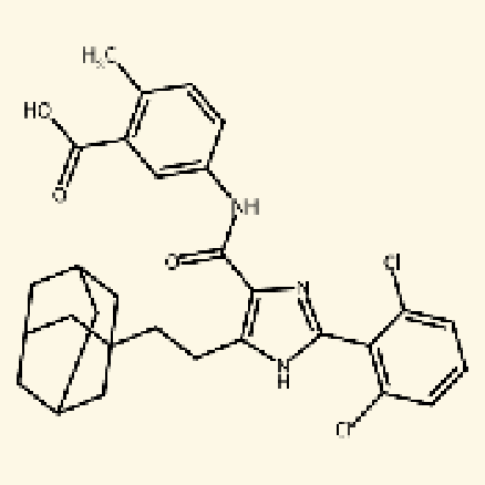 Cc1ccc(NC(=O)c2nc(-c3c(Cl)cccc3Cl)[nH]c2CCC23CC4CC(CC(C4)C2)C3)cc1C(=O)O